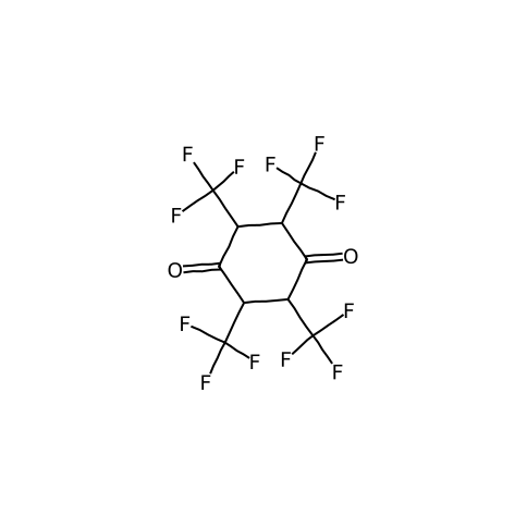 O=C1C(C(F)(F)F)C(C(F)(F)F)C(=O)C(C(F)(F)F)C1C(F)(F)F